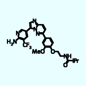 COc1cc(-c2ccc3ncc(-c4cnc(N)c(C(F)(F)F)c4)n3n2)ccc1OCCNC(=O)C(C)C